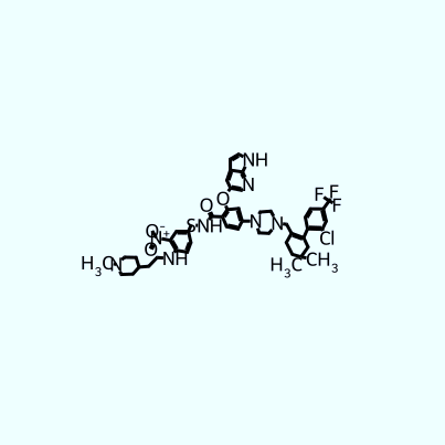 CN1CCC(CCNc2ccc(SNC(=O)c3ccc(N4CCN(CC5=C(c6ccc(C(F)(F)F)cc6Cl)CC(C)(C)CC5)CC4)cc3Oc3cnc4[nH]ccc4c3)cc2[N+](=O)[O-])CC1